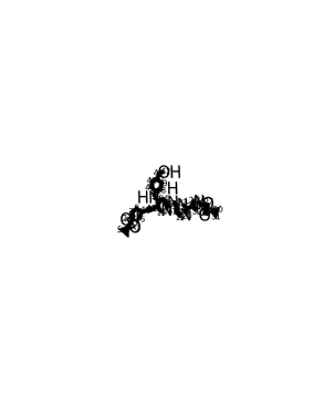 O=S(=O)(C1CC1)N1CCC(C#Cc2cnc(Nc3ccnc(-c4cnn(S(=O)(=O)C5CC5)c4)n3)cc2NC2CCC(CO)CC2)C1